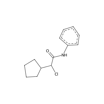 O=C(Nc1ccccc1)C(Cl)C1CCCC1